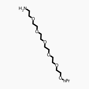 CCCOCCOCCOCCOCCOCCOCCN